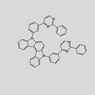 c1ccc(-c2nccc(-c3cccc(-n4c5ccccc5c5c6c7ccccc7n(-c7cccc(-c8ccnc(-c9ccccc9)n8)c7)c6ccc54)c3)n2)cc1